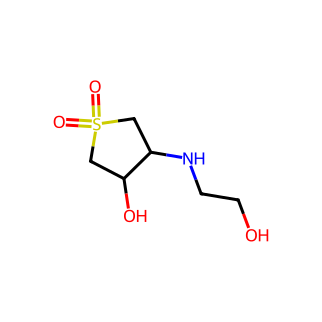 O=S1(=O)CC(O)C(NCCO)C1